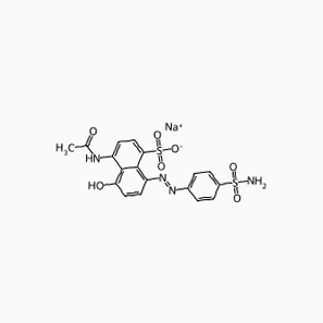 CC(=O)Nc1ccc(S(=O)(=O)[O-])c2c(/N=N/c3ccc(S(N)(=O)=O)cc3)ccc(O)c12.[Na+]